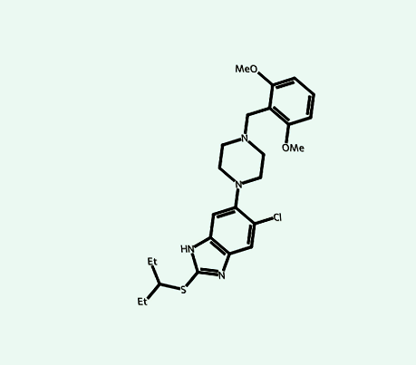 CCC(CC)Sc1nc2cc(Cl)c(N3CCN(Cc4c(OC)cccc4OC)CC3)cc2[nH]1